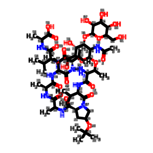 CC(=O)NC1[C@@H](OC(C)[C@H](N)C(=O)NC(C(=O)N2CC(OC(C)(C)C)C[C@H]2C(=O)NC(C)C(=O)N[C@@H](C)C(=O)NC(C(=O)N[C@H](C(=O)NC(C(=O)N[C@@H](C)C(=O)O)C(C)C)C(C)C)C(C)C)C(C)C)OC(CO)[C@H](O)[C@@H]1O[C@@H]1OC(CO)[C@H](O)C(O)[C@@H]1O